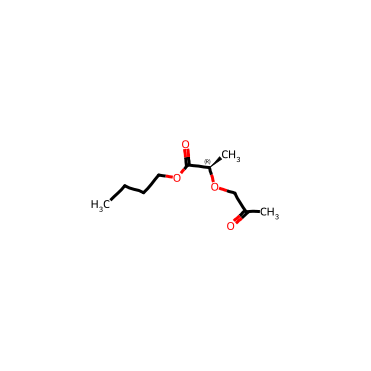 CCCCOC(=O)[C@@H](C)OCC(C)=O